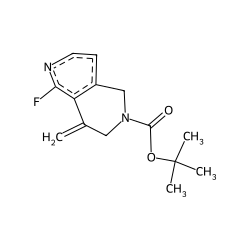 C=C1CN(C(=O)OC(C)(C)C)Cc2ccnc(F)c21